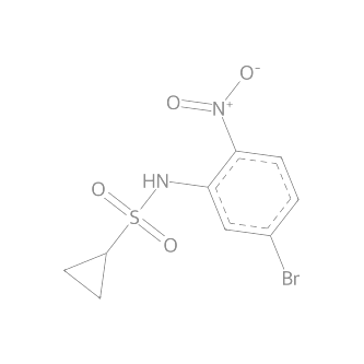 O=[N+]([O-])c1ccc(Br)cc1NS(=O)(=O)C1CC1